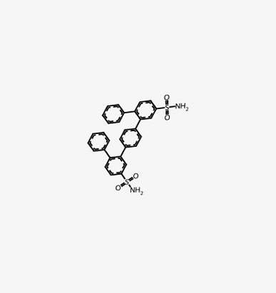 NS(=O)(=O)c1ccc(-c2ccccc2)c(-c2ccc(-c3cc(S(N)(=O)=O)ccc3-c3ccccc3)cc2)c1